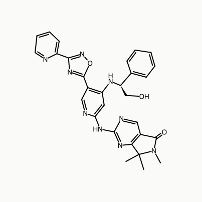 CN1C(=O)c2cnc(Nc3cc(N[C@H](CO)c4ccccc4)c(-c4nc(-c5ccccn5)no4)cn3)nc2C1(C)C